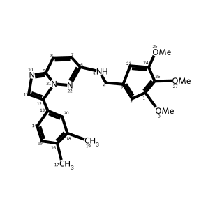 COc1cc(CNc2ccc3ncc(-c4ccc(C)c(C)c4)n3n2)cc(OC)c1OC